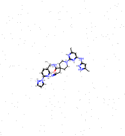 Cc1cc(Nc2cc(C)[nH]n2)nc(N2CCC(CC#N)(C(=O)N[C@@H](C)c3ccc(-n4cccn4)nc3)CC2)n1